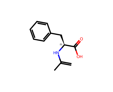 C=C(C)N[C@@H](Cc1ccccc1)C(=O)O